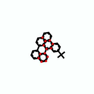 CC(C)(C)c1ccc(-c2ccccc2)c(N(c2ccccc2)c2ccccc2-c2cccc3cccc(-c4ccccc4)c23)c1